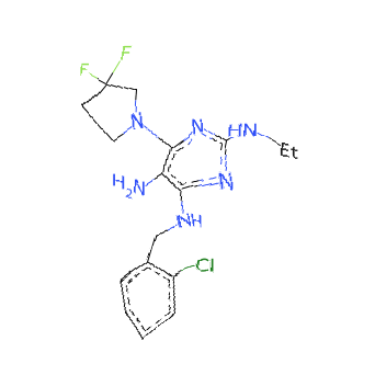 CCNc1nc(NCc2ccccc2Cl)c(N)c(N2CCC(F)(F)C2)n1